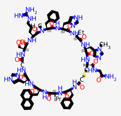 CC[C@@H]1NC(=O)[C@H](Cc2c[nH]cn2)NC(=O)[C@H](Cc2ccccc2)N(C)C(=O)[C@H](CCCNC(=N)N)NC(=O)[C@H](CO)NC(=O)CNC(=O)[C@H](Cc2c[nH]cn2)NC(=O)[C@H](Cc2cccc3ccccc23)NC(=O)[C@H](C(C)C)NC(=O)[C@H](Cc2ccccc2)NC(=O)CSC[C@@H](C(=O)NCC(N)=O)NC(=O)[C@H](Cc2cncn2C)NC1=O